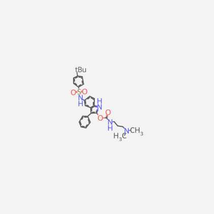 CN(C)CCCNC(=O)Oc1[nH]c2ccc(NS(=O)(=O)c3ccc(C(C)(C)C)cc3)cc2c1-c1ccccc1